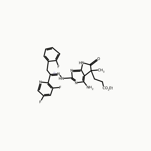 CCOC(=O)CCC1(C)C(=O)Nc2nc(N/N=C(/Cc3ccccc3F)c3ncc(F)cc3F)nc(N)c21